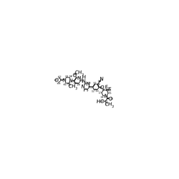 COc1nc(Nc2nccc(-c3ccc(OC4CCN(C(=O)[C@H](C)O)CC4(F)F)c(C#N)c3)n2)ccc1N1CCN(C2COC2)C[C@H]1C